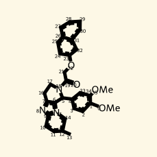 COc1ccc(C2c3c(nc4ccc(C)cn34)CCN2C(=O)COc2ccc3ccccc3c2)cc1OC